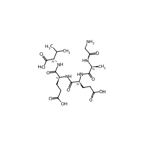 CC(C)[C@H](NC(=O)[C@H](CCC(=O)O)NC(=O)[C@H](CCC(=O)O)NC(=O)[C@H](C)NC(=O)CN)C(=O)O